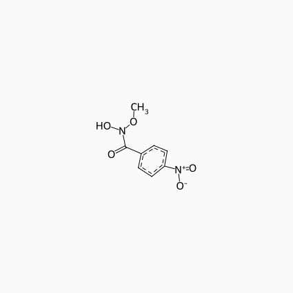 CON(O)C(=O)c1ccc([N+](=O)[O-])cc1